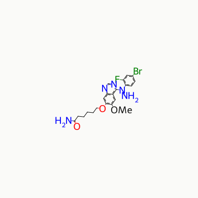 COc1cc2c(N(N)c3ccc(Br)cc3F)ncnc2cc1OCCCCCC(N)=O